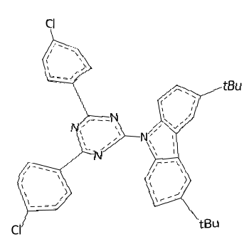 CC(C)(C)c1ccc2c(c1)c1cc(C(C)(C)C)ccc1n2-c1nc(-c2ccc(Cl)cc2)nc(-c2ccc(Cl)cc2)n1